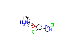 CC(C)CC(C)(N)COc1ccc(-c2ccnc(Cl)n2)cc1Cl